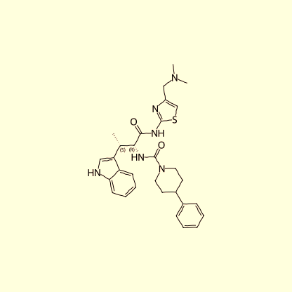 C[C@@H](c1c[nH]c2ccccc12)[C@@H](NC(=O)N1CCC(c2ccccc2)CC1)C(=O)Nc1nc(CN(C)C)cs1